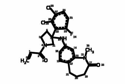 C=CC(=O)N1CCC(Nc2ccc3c(c2)N(C)C(=O)CCC3)(c2c(F)ccc(Cl)c2Cl)C1